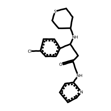 O=C(CC(NC1CCSCC1)c1ccc(Cl)cc1)Nc1ccccn1